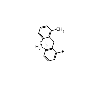 Cc1cccc(C)c1Cc1c(N)cccc1F